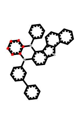 c1ccc(-c2cccc(N(c3ccccc3)c3ccc4sc5c6ccccc6ccc5c4c3N(c3ccccc3)c3ccccc3)c2)cc1